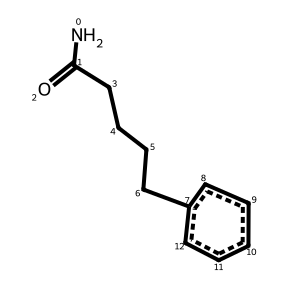 NC(=O)CCCCc1ccccc1